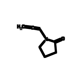 C=C=CN1CCCC1=O